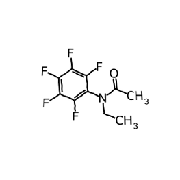 CCN(C(C)=O)c1c(F)c(F)c(F)c(F)c1F